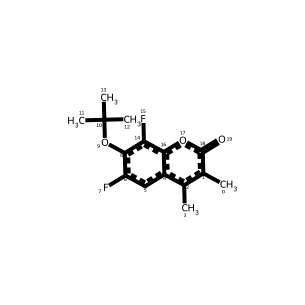 Cc1c(C)c2cc(F)c(OC(C)(C)C)c(F)c2oc1=O